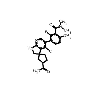 CN(C)C(=O)c1c(N)ccc(-c2cnc3c(c2Cl)C2(CCC(C(N)=O)C2)CN3)c1F